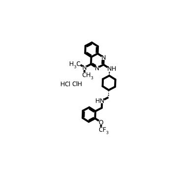 CN(C)c1nc(N[C@H]2CC[C@@H](CNCc3ccccc3OC(F)(F)F)CC2)nc2ccccc12.Cl.Cl